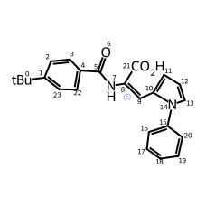 CC(C)(C)c1ccc(C(=O)N/C(=C/c2cccn2-c2ccccc2)C(=O)O)cc1